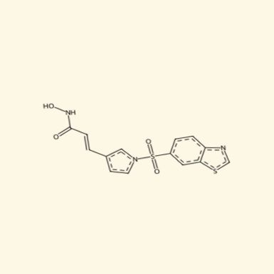 O=C(C=Cc1ccn(S(=O)(=O)c2ccc3ncsc3c2)c1)NO